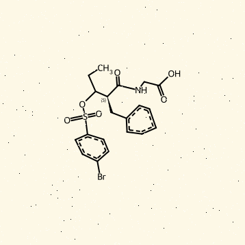 CCC(OS(=O)(=O)c1ccc(Br)cc1)[C@H](Cc1ccccc1)C(=O)NCC(=O)O